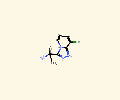 CC(C)(N)c1nnc2c(Cl)cccn12